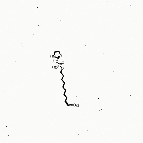 C1=NCCN1.CCCCCCCC/C=C\CCCCCCCCOP(=O)(O)O